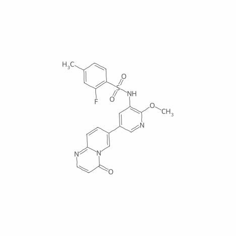 COc1ncc(-c2ccc3nccc(=O)n3c2)cc1NS(=O)(=O)c1ccc(C)cc1F